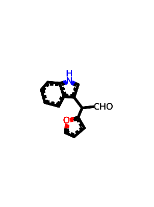 O=CC(c1ccco1)c1c[nH]c2ccccc12